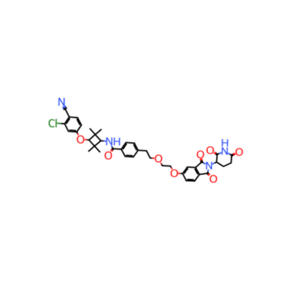 CC1(C)C(NC(=O)c2ccc(CCOCCOc3ccc4c(c3)C(=O)N(C3CCC(=O)NC3=O)C4=O)cc2)C(C)(C)C1Oc1ccc(C#N)c(Cl)c1